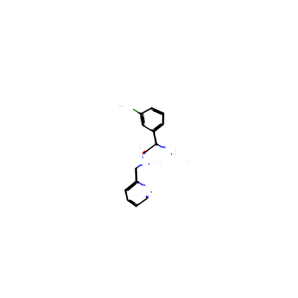 NC(C(=O)NCc1ccccn1)c1cccc(Br)c1